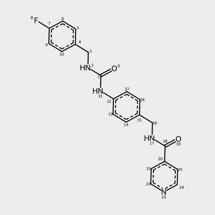 O=C(NCc1ccc(F)cc1)Nc1ccc(CNC(=O)c2ccncc2)cc1